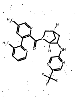 Cc1cnc(C(=O)N2C[C@H]3C[C@@H](Nc4cnc(C(F)(F)F)cn4)[C@@H]2C3)c(-c2ncccc2C)c1